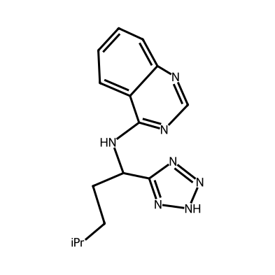 CC(C)CCC(Nc1ncnc2ccccc12)c1nn[nH]n1